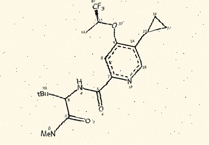 CNC(=O)C(NC(=O)c1cc(O[C@@H](C)C(F)(F)F)c(C2CC2)cn1)C(C)(C)C